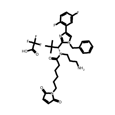 CC(C)(C)[C@H](c1nc(-c2cc(F)ccc2F)cn1Cc1ccccc1)N(CCCN)C(=O)CCCCCN1C(=O)C=CC1=O.O=C(O)C(F)(F)F